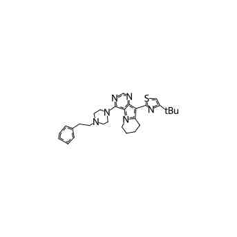 CC(C)(C)c1csc(-c2c3n(c4c(N5CCN(CCc6ccccc6)CC5)ncnc24)CCCC3)n1